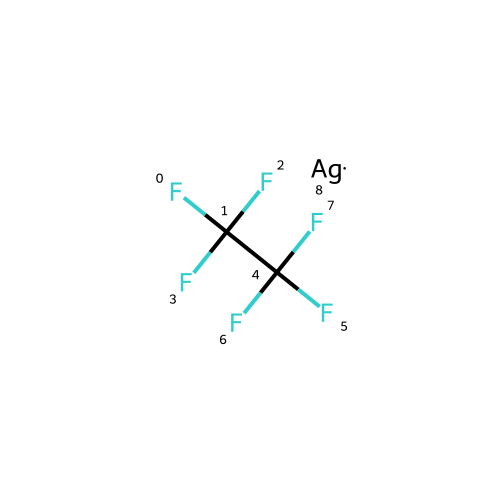 FC(F)(F)C(F)(F)F.[Ag]